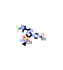 Cc1c(-c2cnc3c(N4CCN(C(=O)C(C)C)CC4)cc(S(=O)(=O)NC4(C#N)CC4)cn23)cnn1C(F)F